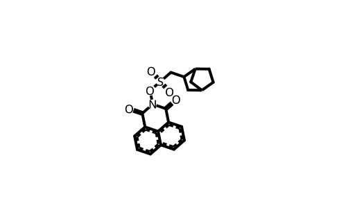 O=C1c2cccc3cccc(c23)C(=O)N1OS(=O)(=O)CC1CC2CCC1C2